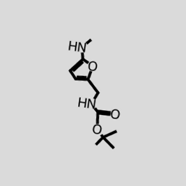 CNc1ccc(CNC(=O)OC(C)(C)C)o1